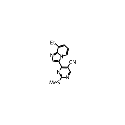 CCc1cccn2c(-c3nc(SC)ncc3C#N)cnc12